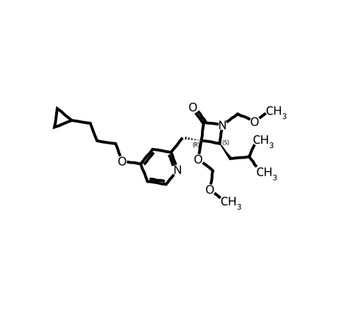 COCO[C@@]1(Cc2cc(OCCCC3CC3)ccn2)C(=O)N(COC)[C@H]1CC(C)C